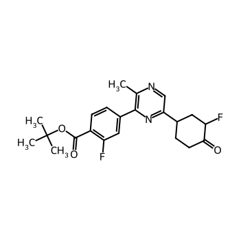 Cc1ncc(C2CCC(=O)C(F)C2)nc1-c1ccc(C(=O)OC(C)(C)C)c(F)c1